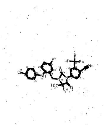 CC1(C)C(=O)N(c2ccc(C#N)c(C(F)(F)F)c2)C(=O)N1Cc1cc(F)ccc1Nc1ccc(Cl)cc1